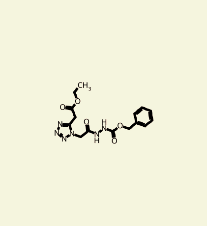 CCOC(=O)Cc1nnnn1CC(=O)NNC(=O)OCc1ccccc1